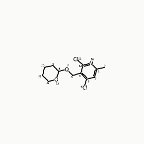 Cc1cc(Cl)c(COC2CCCCO2)c(Cl)n1